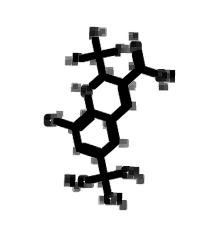 CC(C)(C)c1cc(Cl)c2c(c1)C=C(C(=O)O)C(C(F)(F)F)O2